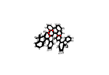 CC1(C)c2ccccc2-c2c(-c3ccccc3N(c3cccc(-c4cccc5sc6ccccc6c45)c3)c3ccccc3-c3cccc4cccc(C5CCCCC5)c34)cccc21